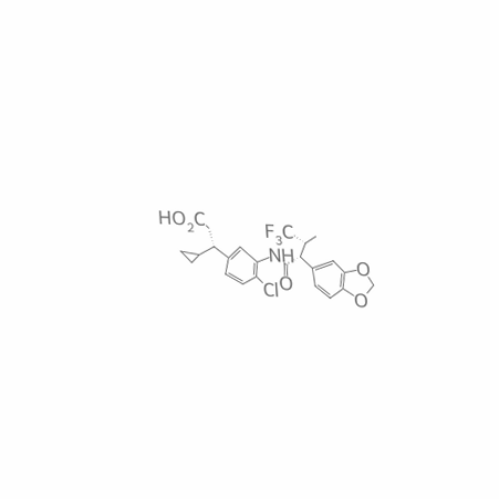 C[C@H]([C@@H](C(=O)Nc1cc([C@@H](CC(=O)O)C2CC2)ccc1Cl)c1ccc2c(c1)OCO2)C(F)(F)F